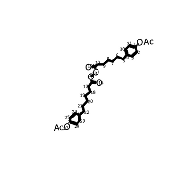 CC(=O)Oc1ccc(CCCCCCC(=O)OOC(=O)CCCCCCc2ccc(OC(C)=O)cc2)cc1